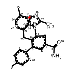 Cc1ccc(-c2cc(C(N)=O)cc(-n3ncnc3C(F)(F)F)c2Cc2cnc(C)cn2)nc1